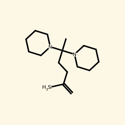 C=C([SiH3])CCC(C)(N1CCCCC1)N1CCCCC1